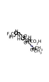 CC(C)Cc1c(C(F)(F)F)cnc2cc(Cn3cccc(NC(=O)[C@H](CC/C=C/C(=O)N(C)C)NC(=O)O)c3=O)[nH]c12